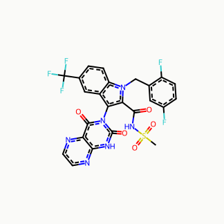 CS(=O)(=O)NC(=O)c1c(-n2c(=O)[nH]c3nccnc3c2=O)c2cc(C(F)(F)F)ccc2n1Cc1cc(F)ccc1F